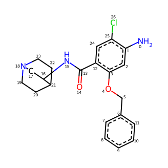 Nc1cc(OCc2ccccc2)c(C(=O)NC2CN3CCC2CC3)cc1Cl